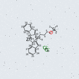 C[Si](C)(C)OCCC[Si]1(C)C2=Cc3ccccc3[CH]2[Zr+2][CH]2C1=Cc1ccccc12.[Cl-].[Cl-]